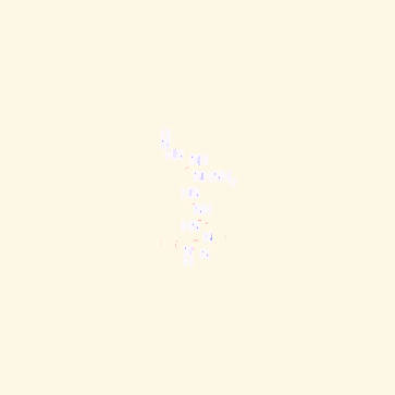 CC(NC(=O)CNC(=O)CNC(=O)CNC(=O)C(CCC(N)=O)NC(=O)CNC(=O)C1CCCN1)C(=O)N(C)CC(=O)N1CCCC1C(=O)NCC(=O)O